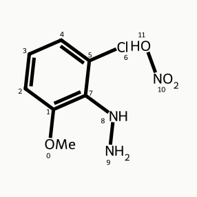 COc1cccc(Cl)c1NN.O=[N+]([O-])O